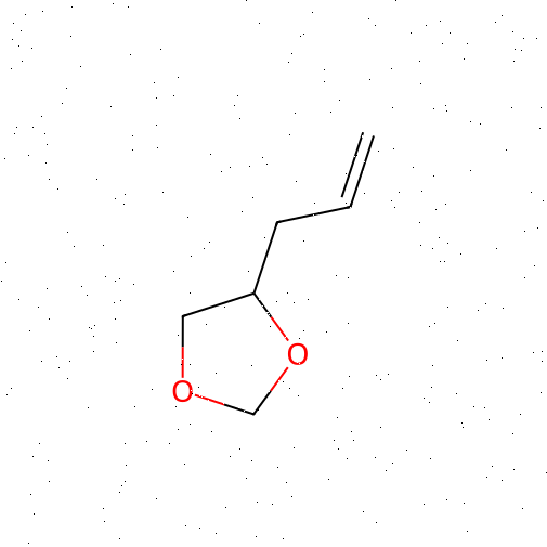 C=CCC1COCO1